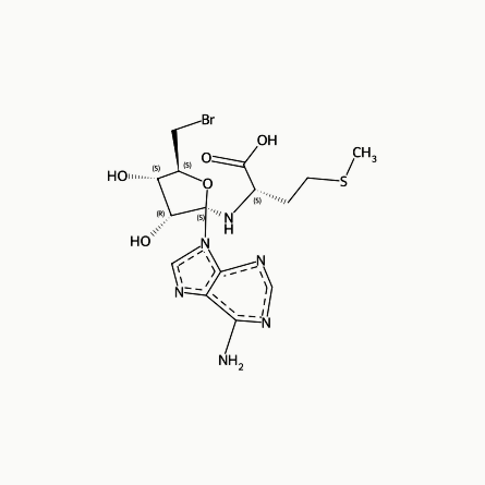 CSCC[C@H](N[C@@]1(n2cnc3c(N)ncnc32)O[C@H](CBr)[C@@H](O)[C@H]1O)C(=O)O